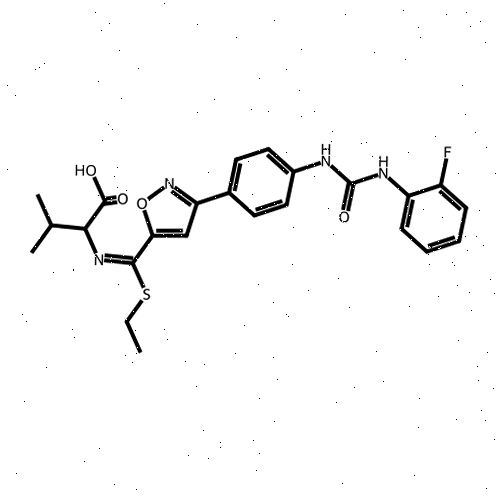 CCSC(=NC(C(=O)O)C(C)C)c1cc(-c2ccc(NC(=O)Nc3ccccc3F)cc2)no1